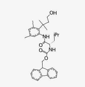 Cc1cc(C)c(C(C)(C)CCO)c(NC(=O)[C@H](CC(C)C)NC(=O)OCC2c3ccccc3-c3ccccc32)c1